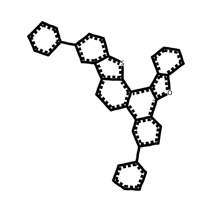 c1ccc(-c2ccc3sc4c(ccc5c6cc(-c7ccccc7)ccc6c6oc7ccccc7c6c54)c3c2)cc1